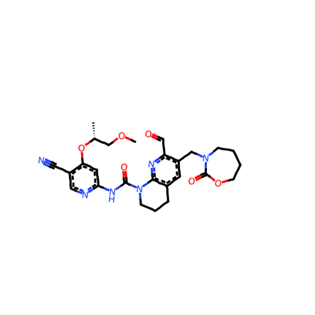 COC[C@@H](C)Oc1cc(NC(=O)N2CCCc3cc(CN4CCCCOC4=O)c(C=O)nc32)ncc1C#N